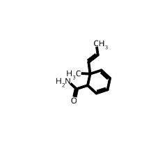 CC=CC1(C)C=CC=CC1C(N)=O